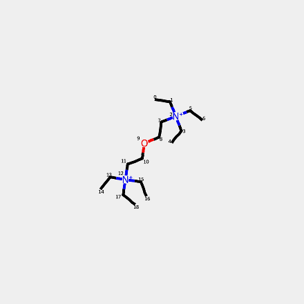 CC[N+](CC)(CC)CCOCC[N+](CC)(CC)CC